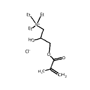 C=C(C)C(=O)OCC(O)C[N+](CC)(CC)CC.[Cl-]